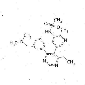 CCc1ncnc(-c2cccc(CN(C)C)c2)c1-c1cnc(C)c(NS(C)(=O)=O)c1